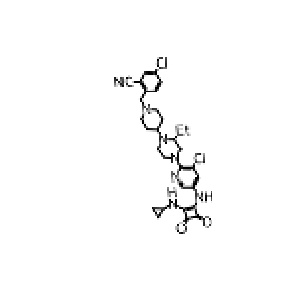 CC[C@H]1CN(c2ncc(Nc3c(NC4CC4)c(=O)c3=O)cc2Cl)CCN1C1CCN(Cc2ccc(Cl)cc2C#N)CC1